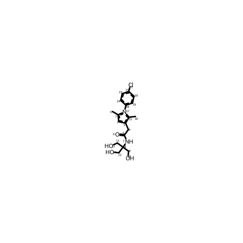 Cc1cc(CC(=O)NC(CO)(CO)CO)c(C)n1-c1ccc(Cl)cc1